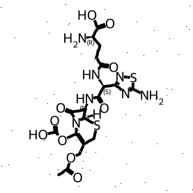 CC(=O)OCC1=C(OC(=O)O)N2C(=O)[C@@H](NC(=O)[C@@H](NC(=O)CC[C@@H](N)C(=O)O)c3nsc(N)n3)[C@@H]2SC1